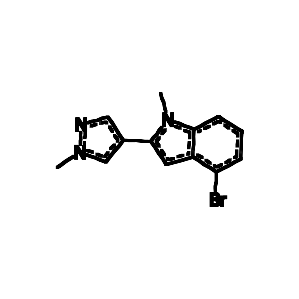 Cn1cc(-c2cc3c(Br)cccc3n2C)cn1